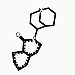 O=c1c2ccccc2ccn1C1CCN2CCCC1C2